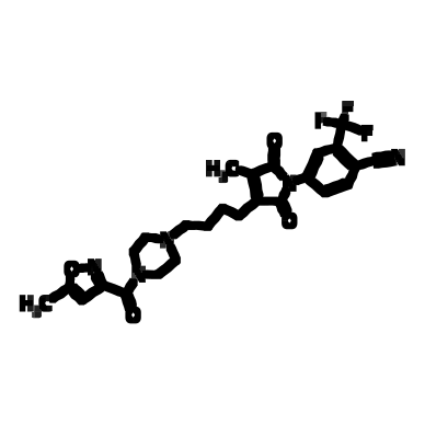 CC1=C(CCCCN2CCN(C(=O)c3cc(C)on3)CC2)C(=O)N(c2ccc(C#N)c(C(F)(F)F)c2)C1=O